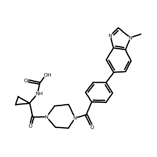 Cn1cnc2cc(-c3ccc(C(=O)N4CCN(C(=O)C5(NC(=O)O)CC5)CC4)cc3)ccc21